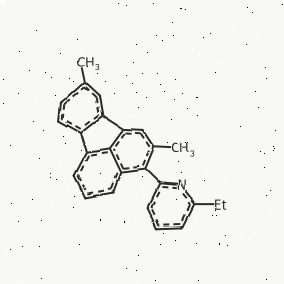 CCc1cccc(-c2c(C)cc3c4c(cccc24)-c2ccc(C)cc2-3)n1